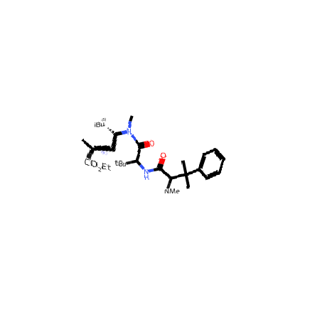 CCOC(=O)/C(C)=C/C([C@@H](C)CC)N(C)C(=O)C(NC(=O)C(NC)C(C)(C)c1ccccc1)C(C)(C)C